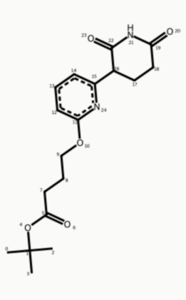 CC(C)(C)OC(=O)CCCOc1cccc(C2CCC(=O)NC2=O)n1